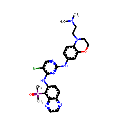 CN(C)CCN1CCOc2cc(Nc3ncc(Br)c(Nc4ccc5nccnc5c4P(C)(C)=O)n3)ccc21